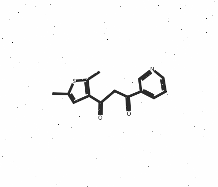 Cc1cc(C(=O)CC(=O)c2cccnc2)c(C)s1